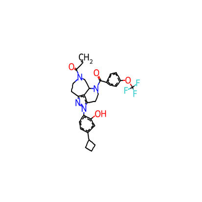 C=CC(=O)N1CCc2nn(-c3ccc(C4CCC4)cc3O)c3c2C(C1)N(C(=O)c1ccc(OC(F)(F)F)cc1)CC3